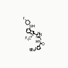 CC(C)(C)n1ccc(C(=O)NCc2nc(-c3cc4c(N[C@H]5CC[C@H](F)CC5)cccc4n3CC(F)(F)F)no2)c1